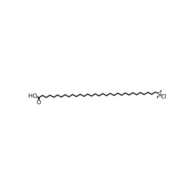 C[Si](C)(Cl)CCCCCCCCCCCCCCCCCCCCCCCCCCCCCCCC(=O)O